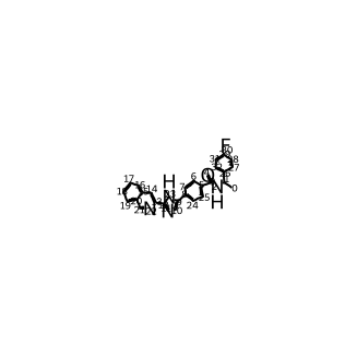 CC(NC(=O)c1ccc(-c2cnc(-c3cc4ccccc4cn3)[nH]2)cc1)c1ccc(F)cc1